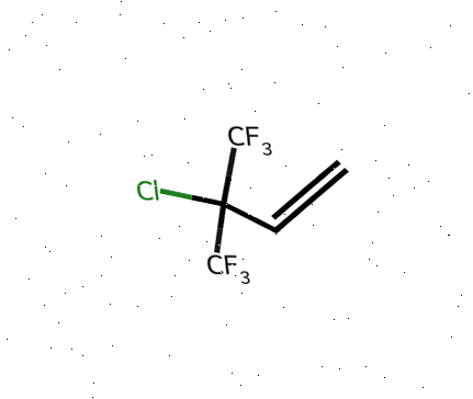 C=CC(Cl)(C(F)(F)F)C(F)(F)F